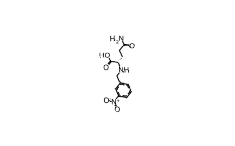 NC(=O)CC[C@H](NCc1cccc([N+](=O)[O-])c1)C(=O)O